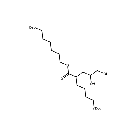 CCCCCCCCCCCCCCCCOC(=O)C(CCCCCCCCCCCCCC)CC(O)CO